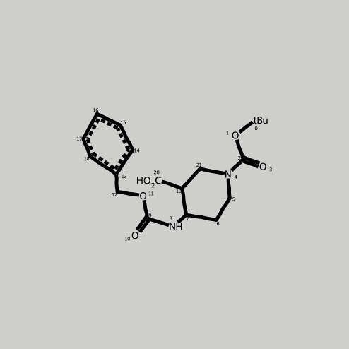 CC(C)(C)OC(=O)N1CCC(NC(=O)OCc2ccccc2)C(C(=O)O)C1